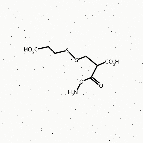 NOC(=O)C(CSSCCC(=O)O)C(=O)O